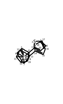 c1csc([C]23[CH]4[CH]5[CH]6[CH]2[Fe]56432789[CH]3[CH]2[CH]7[C]8(c2cccs2)[CH]39)c1